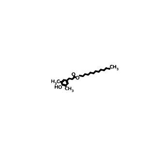 CCCCCCCCCCCCCOC(=O)CCc1cc(C)c(O)c(C)c1